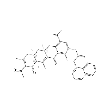 C=C(Cc1cc(C(C)C)c2c(c1C)C(=C)C1=C(C)[C@@]3(C)C(=O)C(C(C)=O)=C(C)C[C@@]3(C)C[C@@]1(C)C2)Cc1cccc2ccccc12